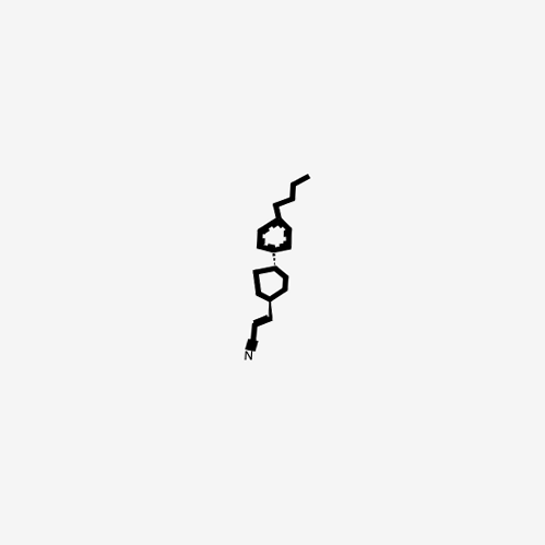 CCCCc1ccc([C@H]2CC[C@H](C=CC#N)CC2)cc1